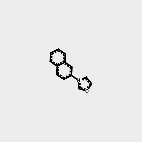 c1ccc2cc(-[n+]3ccoc3)ccc2c1